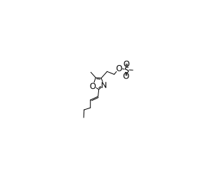 CCCC=Cc1nc(CCOS(C)(=O)=O)c(C)o1